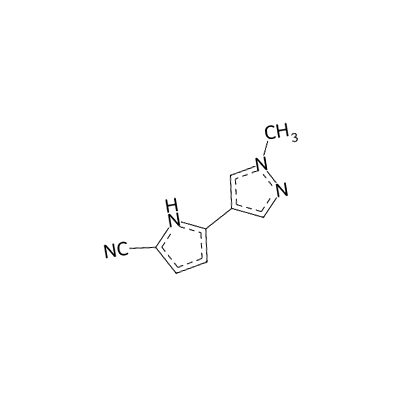 Cn1cc(-c2ccc(C#N)[nH]2)cn1